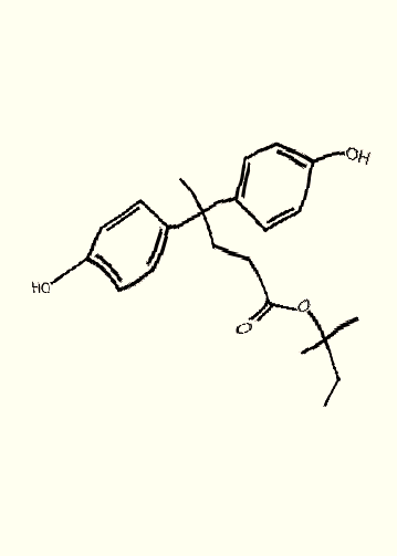 CCC(C)(C)OC(=O)CCC(C)(c1ccc(O)cc1)c1ccc(O)cc1